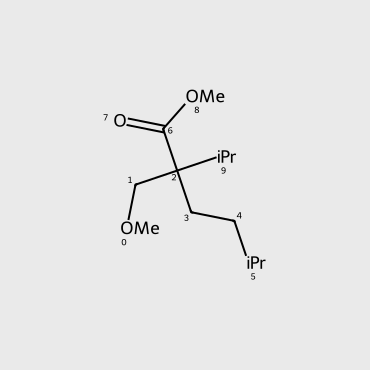 COCC(CCC(C)C)(C(=O)OC)C(C)C